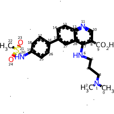 CN(C)CCCNc1c(C(=O)O)cnc2ccc(-c3ccc(NS(C)(=O)=O)cc3)cc12